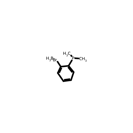 B.CP(C)c1ccccc1Br